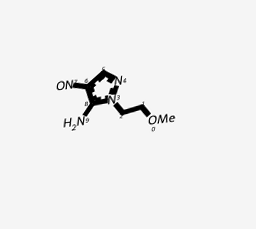 COCCn1ncc(N=O)c1N